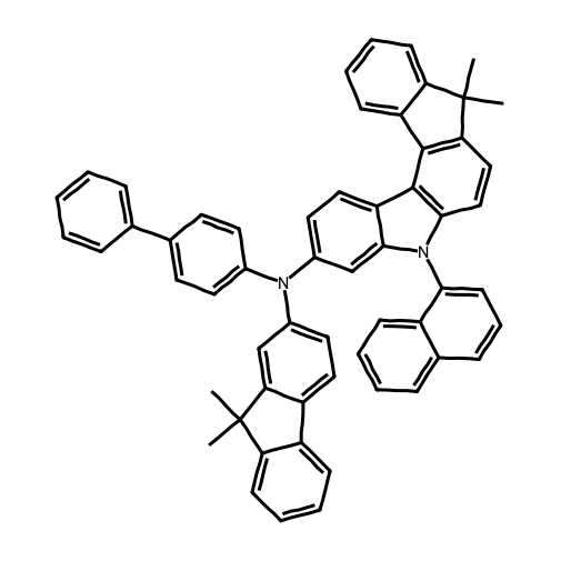 CC1(C)c2ccccc2-c2ccc(N(c3ccc(-c4ccccc4)cc3)c3ccc4c5c6c(ccc5n(-c5cccc7ccccc57)c4c3)C(C)(C)c3ccccc3-6)cc21